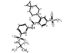 CC(C)(C)NS(=O)(=O)c1cccc(NC(=O)c2ccc(S(C)(=O)=O)cc2N2CCC3(CC2)CC3)n1